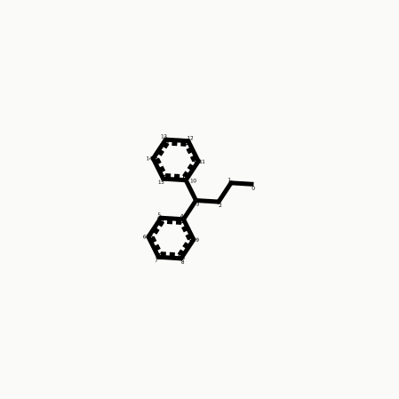 CCCC(c1[c]cc[c]c1)c1[c]cc[c]c1